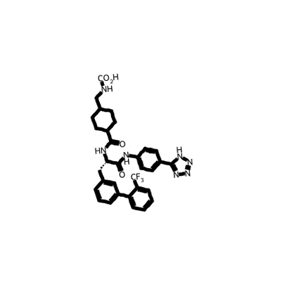 O=C(O)NCC1CCC(C(=O)N[C@@H](Cc2cccc(-c3ccccc3C(F)(F)F)c2)C(=O)Nc2ccc(-c3nnn[nH]3)cc2)CC1